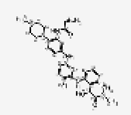 C=CC(=O)Nc1cc(Nc2ncc(Cl)c(Nc3ccccc3C(O)C(=O)N(C)C)n2)ccc1N1CCN(C)CC1